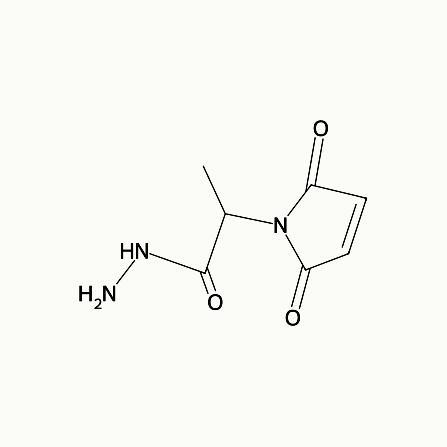 CC(C(=O)NN)N1C(=O)C=CC1=O